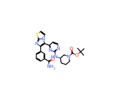 CC(C)(C)OC(=O)N1CCC[C@@H](Nc2nccc(-c3c(-c4cccc(C(N)=O)c4)nc4sccn34)n2)C1